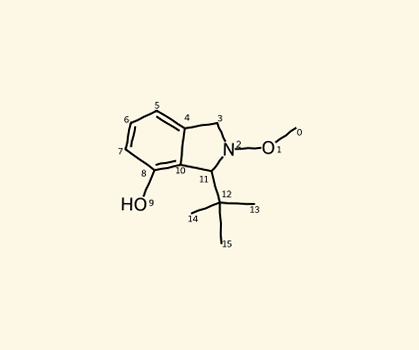 CON1Cc2cccc(O)c2C1C(C)(C)C